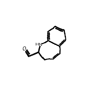 O=CC1CC=Cc2ccccc2N1